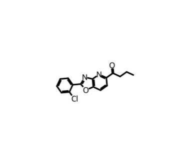 CCCC(=O)c1ccc2oc(-c3ccccc3Cl)nc2n1